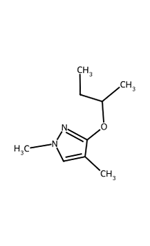 CCC(C)Oc1nn(C)cc1C